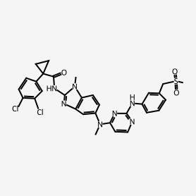 CN(c1ccc2c(c1)nc(NC(=O)C1(c3ccc(Cl)c(Cl)c3)CC1)n2C)c1ccnc(Nc2cccc(CS(C)(=O)=O)c2)n1